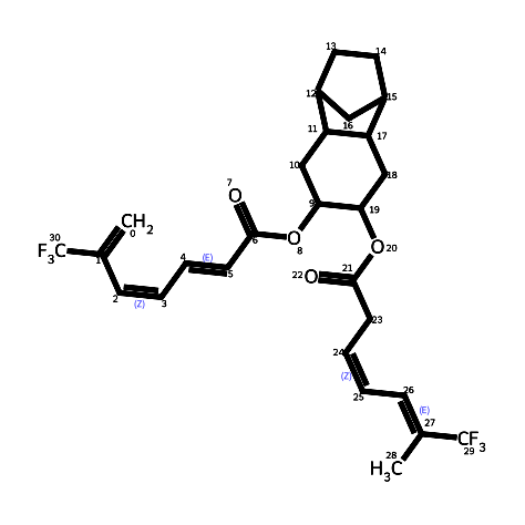 C=C(/C=C\C=C\C(=O)OC1CC2C3CCC(C3)C2CC1OC(=O)C/C=C\C=C(/C)C(F)(F)F)C(F)(F)F